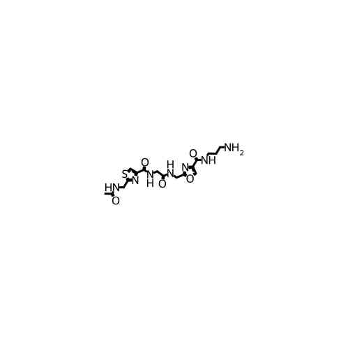 CC(=O)NCc1nc(C(=O)NCC(=O)NCc2nc(C(=O)NCCCN)co2)cs1